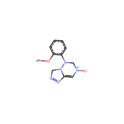 CCCOc1ccccc1N1C[NH+]([O-])C=C2N=NCN21